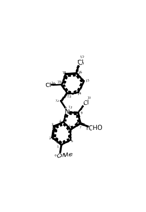 COc1ccc2c(c1)c(C=O)c(Cl)n2Cc1ccc(Cl)cc1Cl